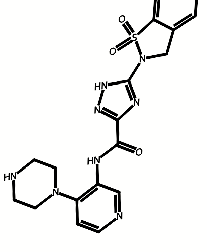 O=C(Nc1cnccc1N1CCNCC1)c1n[nH]c(N2Cc3ccccc3S2(=O)=O)n1